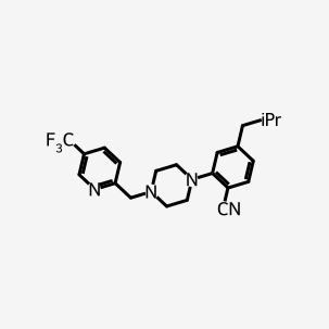 CC(C)Cc1ccc(C#N)c(N2CCN(Cc3ccc(C(F)(F)F)cn3)CC2)c1